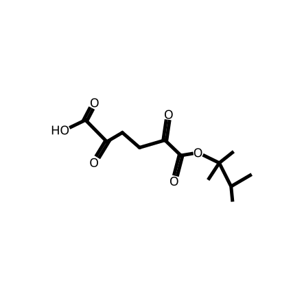 CC(C)C(C)(C)OC(=O)C(=O)CCC(=O)C(=O)O